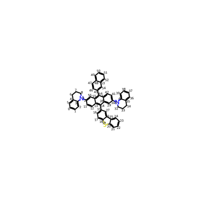 c1ccc2c(c1)CCCN2c1ccc2c(-c3ccc4sc5ccccc5c4c3)c3cc(N4CCCc5ccccc54)ccc3c(-c3ccc4ccccc4c3)c2c1